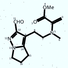 C=C(C(=O)OC)N(C)CCc1c(C=O)nn2c1CCC2